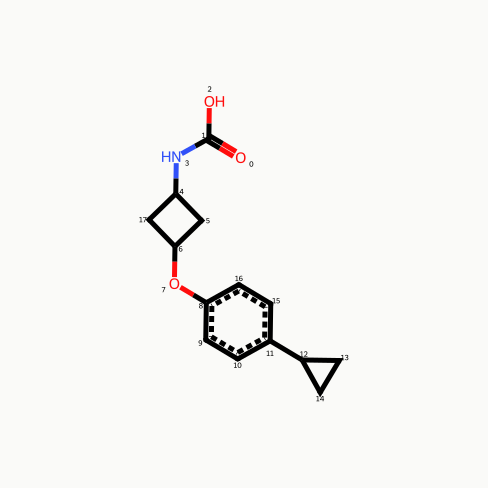 O=C(O)NC1CC(Oc2ccc(C3CC3)cc2)C1